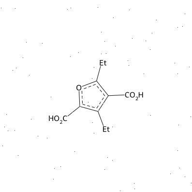 CCc1oc(C(=O)O)c(CC)c1C(=O)O